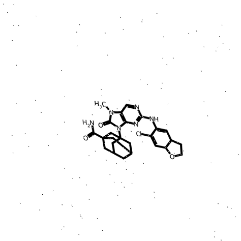 Cn1c(=O)n(C23CC4CC(CC(C(N)=O)(C4)C2)C3)c2nc(NC3=CC4CCOC4C=C3Cl)ncc21